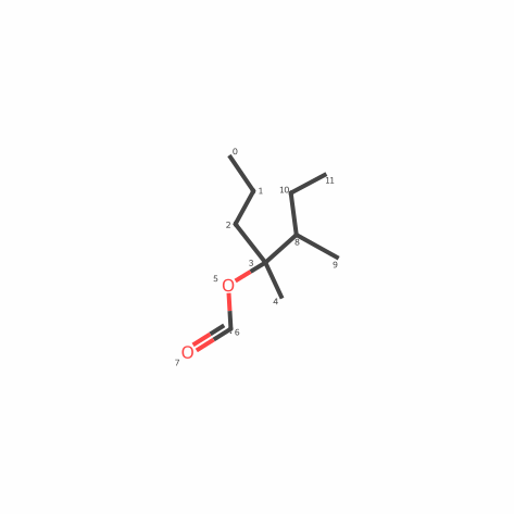 CCCC(C)(O[C]=O)C(C)CC